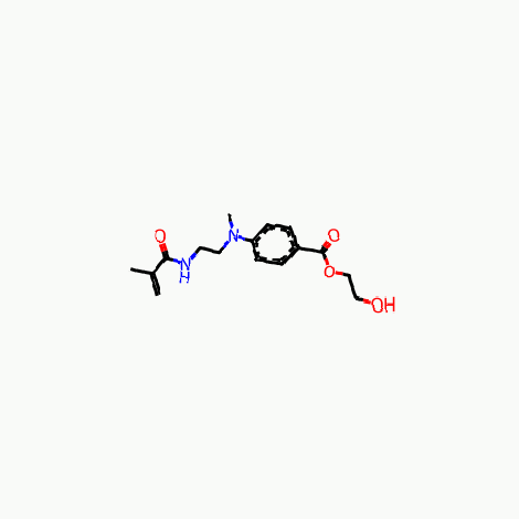 C=C(C)C(=O)NCCN(C)c1ccc(C(=O)OCCO)cc1